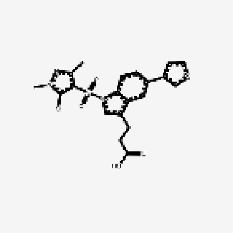 Cc1nn(C)c(Cl)c1S(=O)(=O)n1cc(CCC(=O)O)c2cc(-c3ccsc3)ccc21